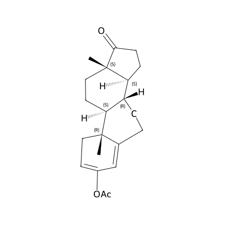 CC(=O)OC1=CC[C@@]2(C)C(=C1)CC[C@@H]1[C@@H]2CC[C@]2(C)C(=O)CC[C@@H]12